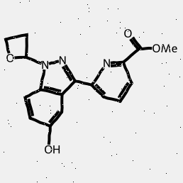 COC(=O)c1cccc(-c2nn(C3CCO3)c3ccc(O)cc23)n1